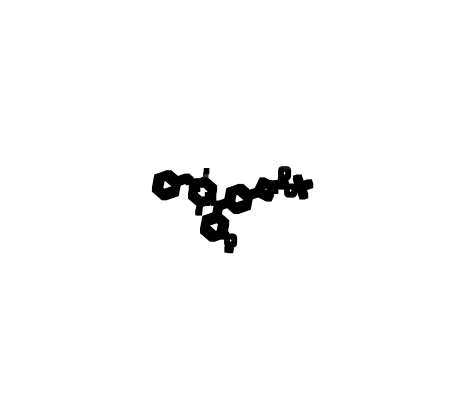 COc1cccc([C@@H](c2ccc(C3CN(C(=O)OC(C)(C)C)C3)cc2)N2C[C@@H](C)N(Cc3ccccc3)C[C@@H]2C)c1